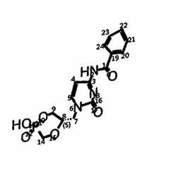 O=C(Nc1ccn(C[C@H]2COP(=O)(O)CO2)c(=O)n1)c1ccccc1